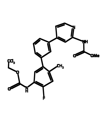 COC(=O)Nc1cc(-c2cccc(-c3cc(NC(=O)OCC(Cl)(Cl)Cl)c(F)cc3C)c2)ccn1